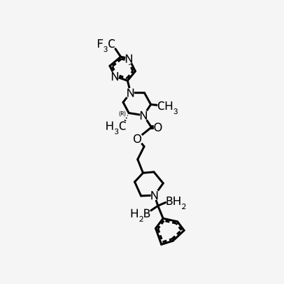 BC(B)(c1ccccc1)N1CCC(CCOC(=O)N2C(C)CN(c3cnc(C(F)(F)F)cn3)C[C@H]2C)CC1